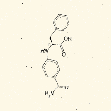 NC(=O)c1ccc(N[C@@H](Cc2ccccc2)C(=O)O)cc1